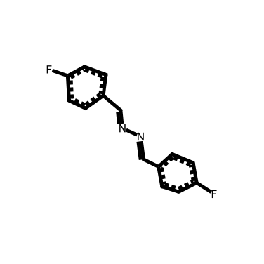 Fc1ccc(C=NN=Cc2ccc(F)cc2)cc1